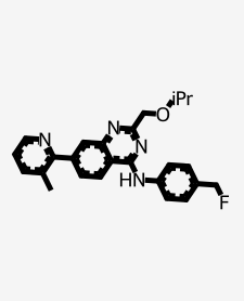 Cc1cccnc1-c1ccc2c(Nc3ccc(CF)cc3)nc(COC(C)C)nc2c1